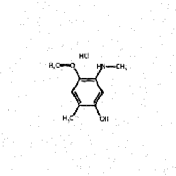 CNc1cc(O)c(C)cc1OC.Cl